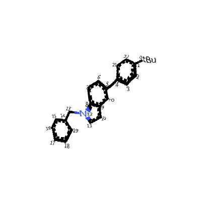 CC(C)(C)c1ccc(-c2ccc3c([c]cn3Cc3ccccc3)c2)cc1